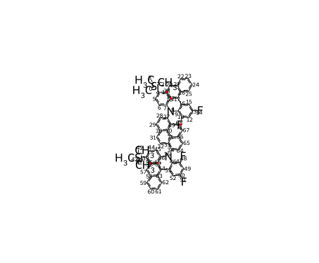 C[Si](C)(C)c1ccc(N(c2c(F)cc(F)cc2-c2cccc3ccccc23)c2ccc3ccc4c(N(c5ccc([Si](C)(C)C)cc5)c5c(F)cc(F)cc5-c5cccc6ccccc56)ccc5ccc2c3c54)cc1